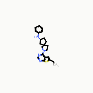 FC(F)(F)Cc1cc2c(N3CCC4(CC[C@H](Nc5ccccc5)C4)C3)ncnc2s1